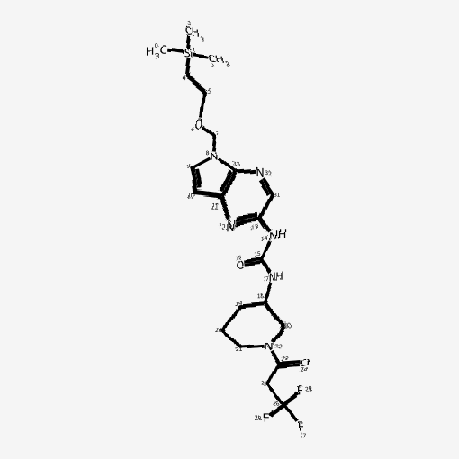 C[Si](C)(C)CCOCn1ccc2nc(NC(=O)NC3CCCN(C(=O)CC(F)(F)F)C3)cnc21